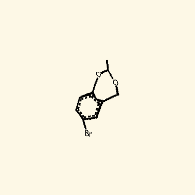 CC1OCc2cc(Br)ccc2O1